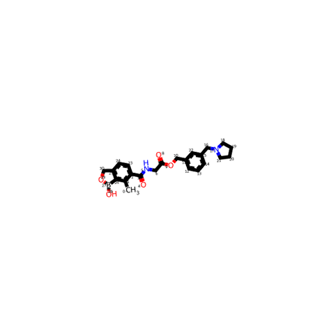 Cc1c(C(=O)NCC(=O)OCc2cccc(CN3CCCC3)c2)ccc2c1B(O)OC2